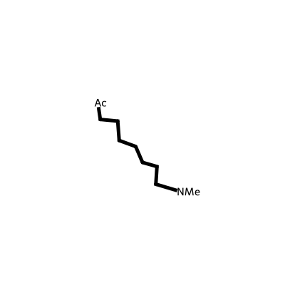 CNCCCCCCCC(C)=O